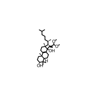 C=CC1(O)C2=C(CC[C@]1(C)[C@H](CC(OC)OC)[C@H](C)CCCC(C)C)[C@@]1(C)CC[C@H](O)C(C)(C)[C@@H]1CC2